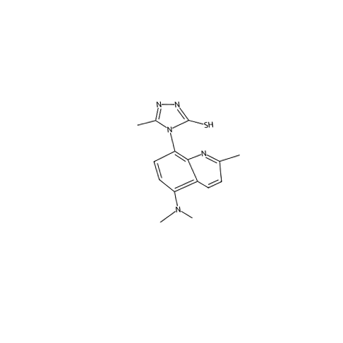 Cc1ccc2c(N(C)C)ccc(-n3c(C)nnc3S)c2n1